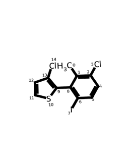 Cc1c(Cl)ccc(I)c1-c1sccc1Cl